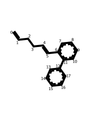 C=CCCC=Cc1ccccc1-c1ccccc1